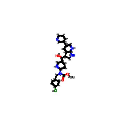 CC(C)(C)OC(=O)N(Cc1ccc(Cl)cc1)c1ccc(C(O)C2CNc3ncc(-c4cccnc4)cc32)cn1